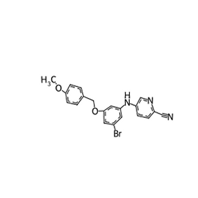 COc1ccc(COc2cc(Br)cc(Nc3ccc(C#N)nc3)c2)cc1